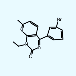 CCn1c(=O)nc(-c2cccc(Br)c2)c2ccc(C)nc21